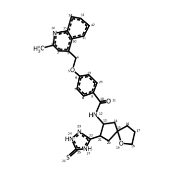 Cc1cc(COc2ccc(C(=O)NC3CC4(CCCO4)CC3c3n[nH]c(=S)[nH]3)cc2)c2ccccc2n1